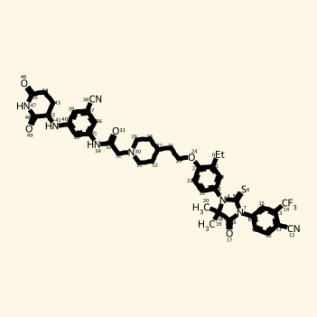 CCc1cc(N2C(=S)N(c3ccc(C#N)c(C(F)(F)F)c3)C(=O)C2(C)C)ccc1OCCC1CCN(CC(=O)Nc2cc(C#N)cc(NC3CCC(=O)NC3=O)c2)CC1